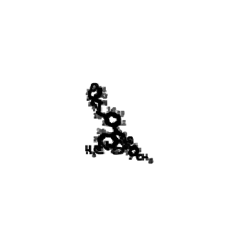 Cc1ccc(S(=O)(=O)n2cc(-c3cccc(CN4CC5(CCOCC5)C4)c3)c3ccn(C)c(=O)c32)cc1